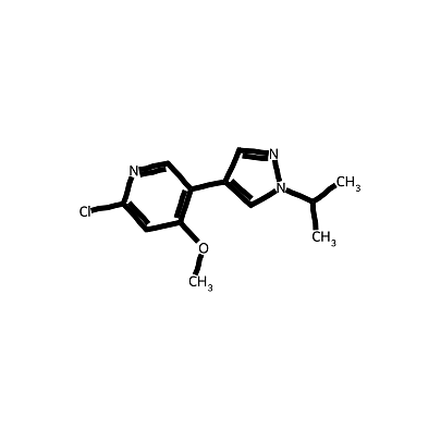 COc1cc(Cl)ncc1-c1cnn(C(C)C)c1